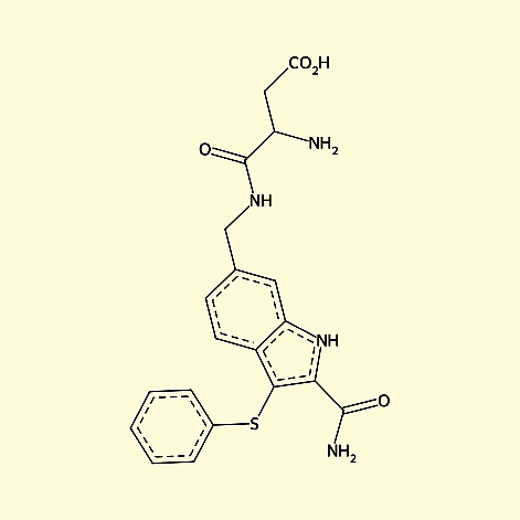 NC(=O)c1[nH]c2cc(CNC(=O)C(N)CC(=O)O)ccc2c1Sc1ccccc1